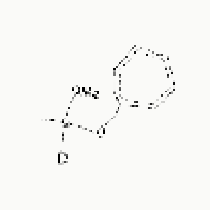 CC[Si](C)(OC)Oc1ccccc1